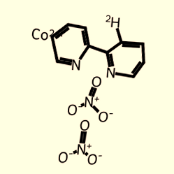 O=[N+]([O-])[O-].O=[N+]([O-])[O-].[2H]c1cccnc1-c1ccccn1.[Co+2]